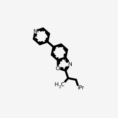 CC(C)CC(C)c1nc2ccc(-c3ccncc3)cc2o1